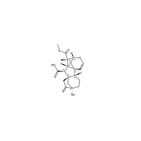 C=C1C[C@]23C[C@@]1(O)CC[C@H]2[C@@]12C=CO[C@H](O1)[C@@](C)(C(=O)OC)[C@H]2[C@@H]3C(=O)O